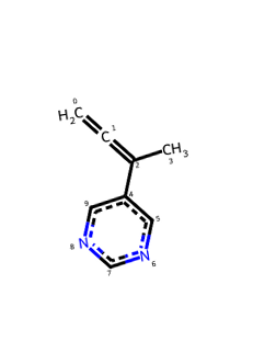 C=C=C(C)c1cncnc1